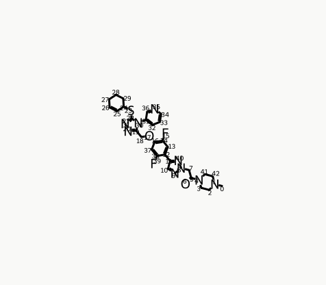 CN1CCN(C(=O)Cn2ncc(-c3cc(F)c(OCc4nnc(SC5C=CCCC5)n4-c4cccnc4)cc3F)n2)CC1